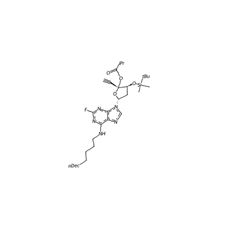 C#C[C@]1(OC(=O)C(C)C)O[C@@H](n2cnc3c(NCCCCCCCCCCCCCC)nc(F)nc32)C[C@@H]1O[Si](C)(C)C(C)(C)C